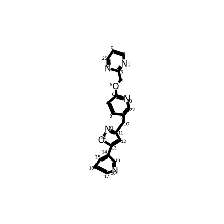 c1cnc(COc2ccc(Cc3cc(-c4cccnc4)on3)cn2)nc1